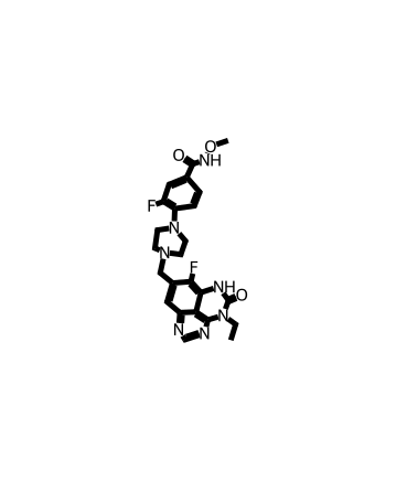 CCN1C(=O)Nc2c(F)c(CN3CCN(c4ccc(C(=O)NOC)cc4F)CC3)cc3ncnc1c23